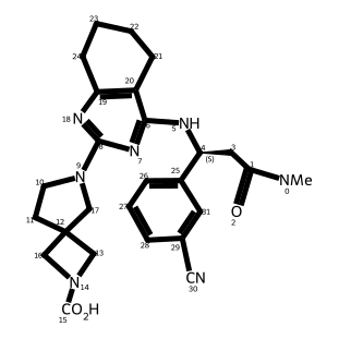 CNC(=O)C[C@H](Nc1nc(N2CCC3(CN(C(=O)O)C3)C2)nc2c1CCCC2)c1cccc(C#N)c1